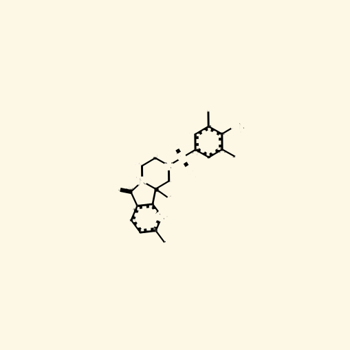 Cc1ccc2c(n1)C1(C)CN(S(=O)(=O)c3cc(C)c(C#N)c(C)c3)CCN1C2=O